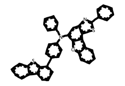 c1ccc(-c2nc3cc(N(c4ccccc4)c4ccc(-c5cccc6c5sc5ccccc56)cc4)c4oc5ccccc5c4c3s2)cc1